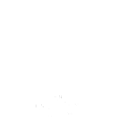 CCCCCCCCCCCCCCCCC(N)(CCC(N)=O)C(=O)O